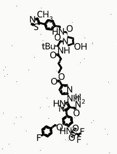 Cc1ncsc1-c1ccc(CNC(=O)[C@@H]2C[C@@H](O)CN2C(=O)[C@@H](NC(=O)CCCCOC(=O)c2ccc(Nc3[nH]nc(-c4ccc(NS(=O)(=O)C(F)F)c(OCc5ccc(F)cc5)c4)c3C(N)=O)nc2)C(C)(C)C)cc1